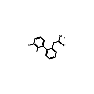 N=C(N)Cc1ccccc1-c1cccc(F)c1F